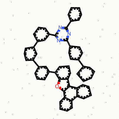 c1ccc(-c2ccc(-c3nc(-c4ccccc4)nc(-c4cccc(-c5cccc(-c6cccc(-c7cccc8c7oc7c9ccccc9c9ccccc9c87)c6)c5)c4)n3)cc2)cc1